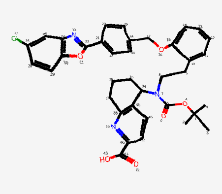 CC(C)(C)OC(=O)N(CCc1ccccc1OCc1ccc(-c2nc3cc(Cl)ccc3o2)cc1)C1CCCc2nc(C(=O)O)ccc21